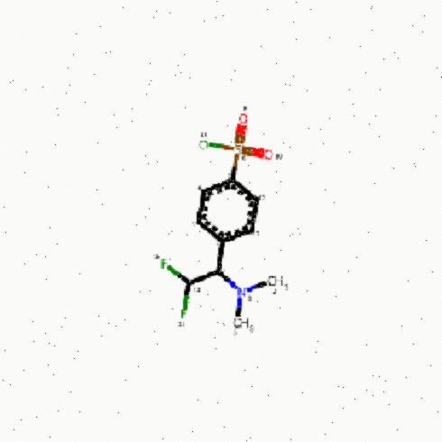 CN(C)C(c1ccc(S(=O)(=O)Cl)cc1)C(F)F